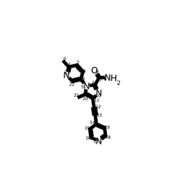 Cc1ccc(-n2c(C(N)=O)nc(C#Cc3ccncc3)c2C)cn1